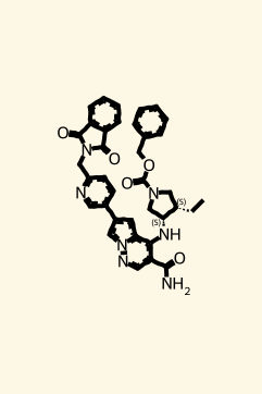 CC[C@H]1CN(C(=O)OCc2ccccc2)C[C@H]1Nc1c(C(N)=O)cnn2cc(-c3ccc(CN4C(=O)c5ccccc5C4=O)nc3)cc12